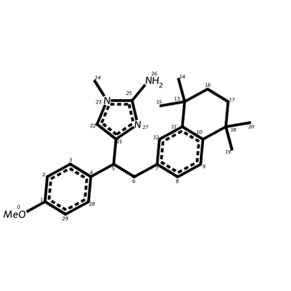 COc1ccc(C(Cc2ccc3c(c2)C(C)(C)CCC3(C)C)c2cn(C)c(N)n2)cc1